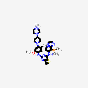 COc1cc(N2CCC(N3CCN(C)CC3)CC2)c(C)cc1Nc1nc(Nc2ccn3ccnc3c2P(C)C)c2sccc2n1